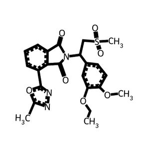 CCOc1cc(C(CS(C)(=O)=O)N2C(=O)c3cccc(-c4nnc(C)o4)c3C2=O)ccc1OC